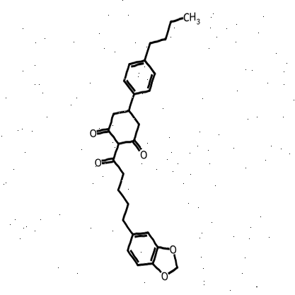 CCCCc1ccc(C2CC(=O)C(C(=O)CCCCc3ccc4c(c3)OCO4)C(=O)C2)cc1